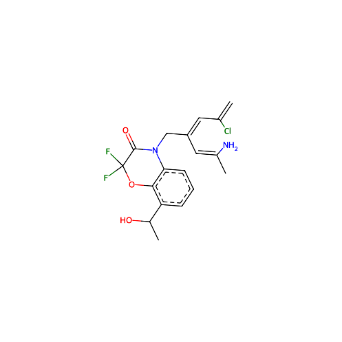 C=C(Cl)/C=C(\C=C(\C)N)CN1C(=O)C(F)(F)Oc2c(C(C)O)cccc21